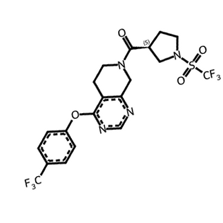 O=C([C@H]1CCN(S(=O)(=O)C(F)(F)F)C1)N1CCc2c(ncnc2Oc2ccc(C(F)(F)F)cc2)C1